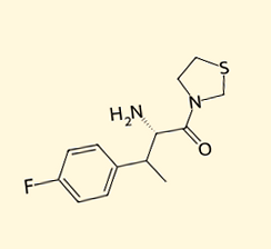 CC(c1ccc(F)cc1)[C@H](N)C(=O)N1CCSC1